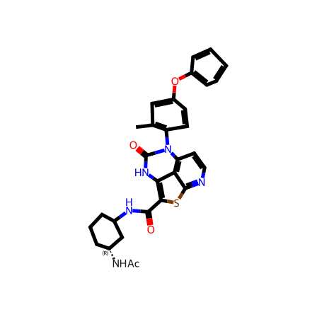 CC(=O)N[C@@H]1CCCC(NC(=O)c2sc3nccc4c3c2NC(=O)N4c2ccc(Oc3ccccc3)cc2C)C1